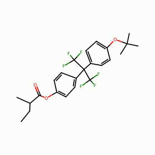 CCC(C)C(=O)Oc1ccc(C(c2ccc(OC(C)(C)C)cc2)(C(F)(F)F)C(F)(F)F)cc1